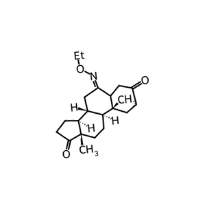 CCO/N=C1\C[C@@H]2[C@H](CC[C@]3(C)C(=O)CC[C@@H]23)[C@@]2(C)CCC(=O)CC12